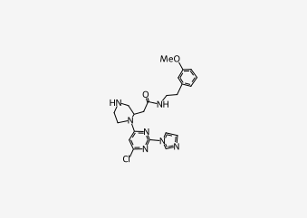 COc1cccc(CCNC(=O)CC2CNCCN2c2cc(Cl)nc(-n3ccnc3)n2)c1